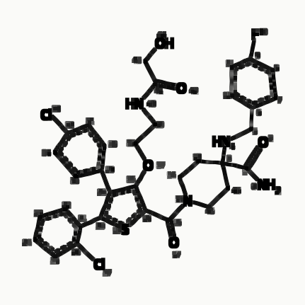 NC(=O)C1(NCc2ccc(F)cc2)CCN(C(=O)c2sc(-c3ccccc3Cl)c(-c3ccc(Cl)cc3)c2OCCNC(=O)CO)CC1